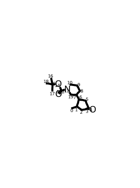 CC1CC(=O)CC1C1CCCN(C(=O)OC(C)(C)C)C1